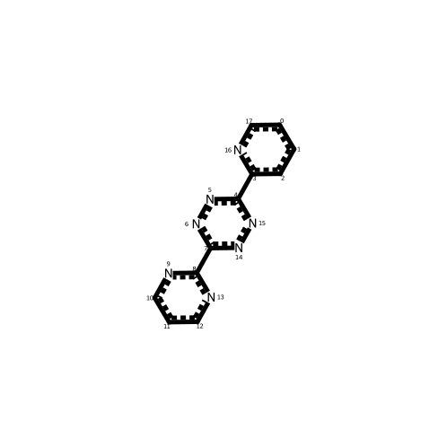 c1ccc(-c2nnc(-c3ncccn3)nn2)nc1